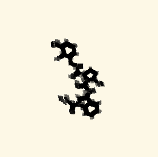 CC[C@@H]1CC[C@@H](C(=O)NCc2cccc(Cl)c2F)N1C(=O)Nc1cn(C(N)=O)c2ccccc12